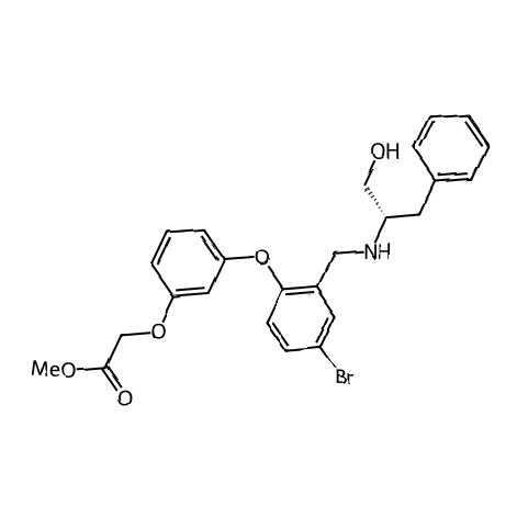 COC(=O)COc1cccc(Oc2ccc(Br)cc2CN[C@H](CO)Cc2ccccc2)c1